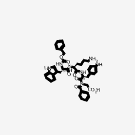 NCCCC[C@H](NC(=O)[C@H](Cc1c[nH]c2ccccc12)NC(=O)OCc1ccccc1)C(=O)N[C@@H](Cc1ccc(O)cc1)C(=O)N(CC(=O)O)C(=O)c1ccccc1